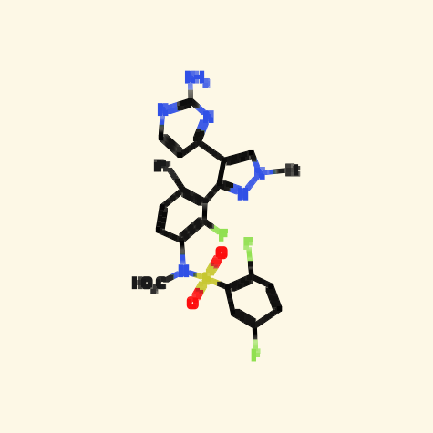 CCn1cc(-c2ccnc(N)n2)c(-c2c(C(C)C)ccc(N(C(=O)O)S(=O)(=O)c3cc(F)ccc3F)c2F)n1